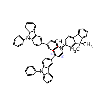 C=C/C=C(\C=C/N(c1ccc(-c2ccc3c(c2)C2=CC=CCC2N3c2ccccc2)cc1)c1ccc2c(c1)C(C)(C)c1ccccc1-2)c1ccc2c(c1)c1ccccc1n2-c1ccccc1